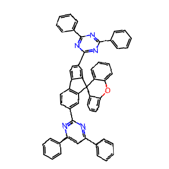 c1ccc(-c2cc(-c3ccccc3)nc(-c3ccc4c(c3)C3(c5ccccc5Oc5ccccc53)c3cc(-c5nc(-c6ccccc6)nc(-c6ccccc6)n5)ccc3-4)n2)cc1